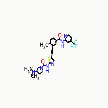 Cc1ccc(C(=O)Nc2cc(C(F)(F)F)ccn2)cc1C#Cc1cnc(NC(=O)N2CCC(N(C)C)C2)s1